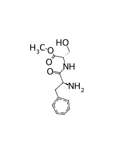 COC(=O)[C@H](CO)NC(=O)[C@@H](N)Cc1ccccc1